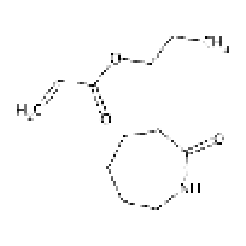 C=CC(=O)OCCC.O=C1CCCCCN1